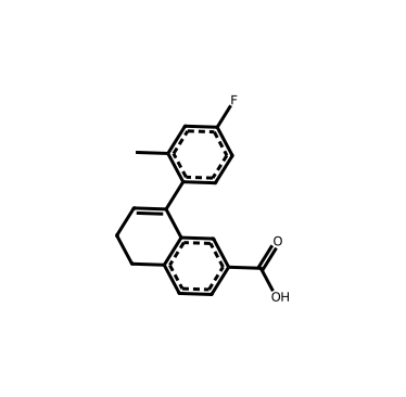 Cc1cc(F)ccc1C1=CCCc2ccc(C(=O)O)cc21